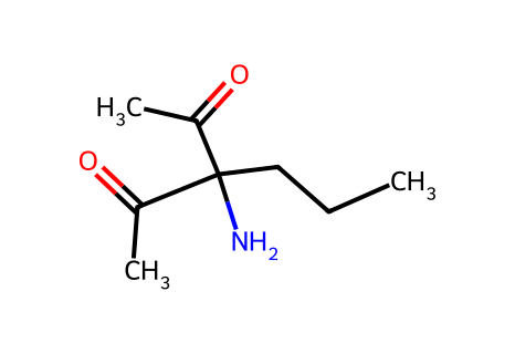 CCCC(N)(C(C)=O)C(C)=O